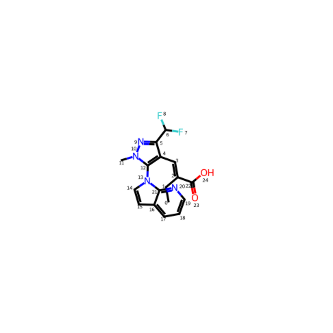 CC/C(=C\c1c(C(F)F)nn(C)c1-n1ccc2cccnc21)C(=O)O